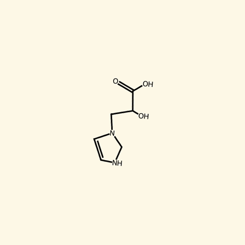 O=C(O)C(O)CN1C=CNC1